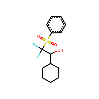 O=S(=O)(c1ccccc1)C(F)(F)C(O)C1CCCCC1